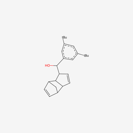 CC(C)(C)c1cc(C(O)C2C=CC3C4C=CC(C4)C32)cc(C(C)(C)C)c1